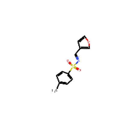 Cc1ccc(S(=O)(=O)/N=C/c2ccoc2)cc1